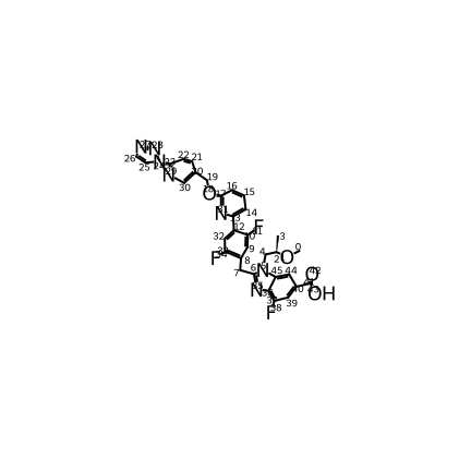 CO[C@H](C)Cn1c(Cc2cc(F)c(-c3cccc(OCc4ccc(-n5ccnn5)nc4)n3)cc2F)nc2c(F)cc(C(=O)O)cc21